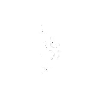 CCOc1cc(OCCCN2CCCC2)c(N)c2c1-c1c(OCCCN3CCCC3)cccc1C2=O